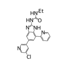 CCNC(=O)Nc1nc2cc(-c3cncc(Cl)c3)cc(-c3ccccn3)c2[nH]1